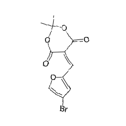 CC1(C)OC(=O)C(=Cc2cc(Br)co2)C(=O)O1